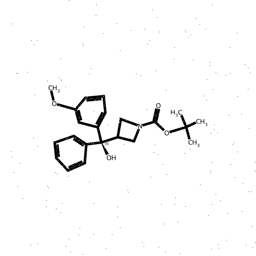 COc1cccc([C@@](O)(c2ccccc2)C2CN(C(=O)OC(C)(C)C)C2)c1